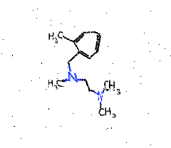 Cc1ccccc1CN(C)CCN(C)C